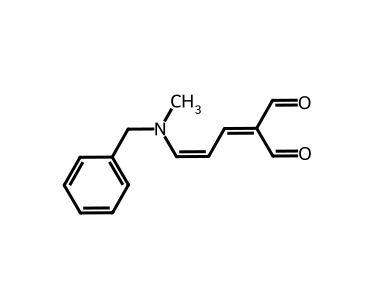 CN(/C=C\C=C(C=O)C=O)Cc1ccccc1